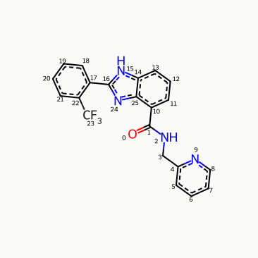 O=C(NCc1ccccn1)c1cccc2[nH]c(-c3ccccc3C(F)(F)F)nc12